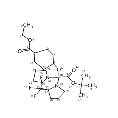 CCOC(=O)C1CCC(OC(C(=O)OC(C)(C)C)(N2CCCC2)N2CCC[C@H]2C(F)(F)F)CC1